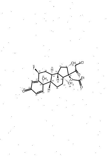 CCC(=O)O[C@]1(C(=O)CCl)[C@@H](C)C[C@H]2[C@@H]3C[C@H](F)C4=CC(=O)C=C[C@]4(C)[C@H]3CC[C@@]21C